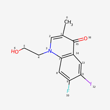 Cc1cn(CCO)c2cc(F)c(I)cc2c1=O